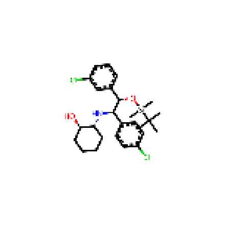 CC(C)(C)[Si](C)(C)O[C@@H](c1cccc(Cl)c1)[C@H](N[C@@H]1CCCC[C@H]1O)c1ccc(Cl)cc1